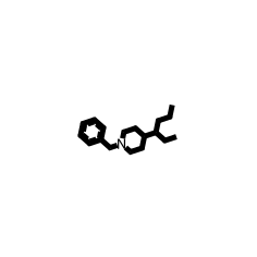 CCCC(CC)C1CCN(Cc2ccccc2)CC1